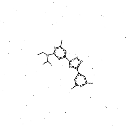 CCN(c1nc(C)cc(-c2noc(-c3cc(C)nc(C)c3)n2)n1)C(C)C